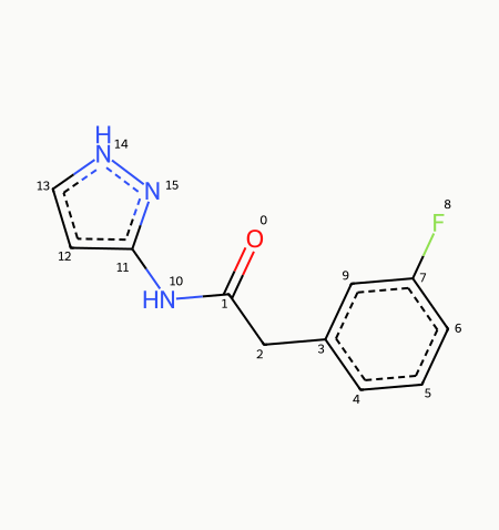 O=C(Cc1cccc(F)c1)Nc1cc[nH]n1